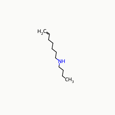 C=CCCCCCNCCCC